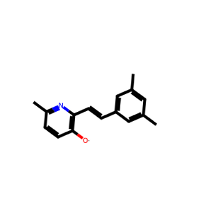 Cc1cc(C)cc(C=Cc2nc(C)ccc2[O])c1